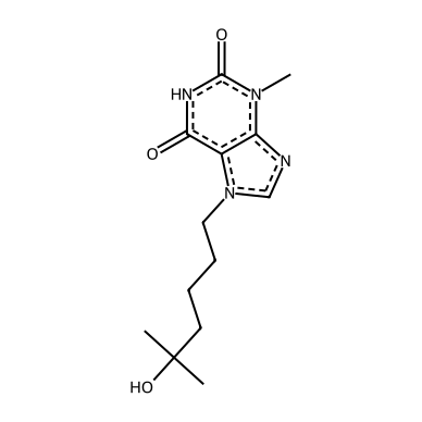 Cn1c(=O)[nH]c(=O)c2c1ncn2CCCCC(C)(C)O